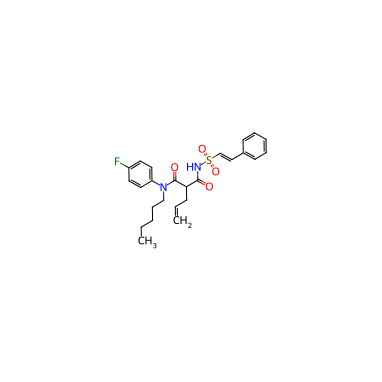 C=CCC(C(=O)NS(=O)(=O)C=Cc1ccccc1)C(=O)N(CCCCC)c1ccc(F)cc1